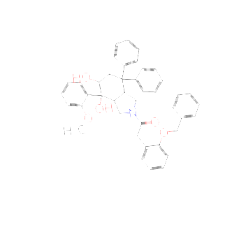 COc1ccccc1C1(O)C(O)CC(c2ccccc2)(c2ccccc2)C2CN(C(=O)Cc3ccccc3OCc3ccccc3)CC21